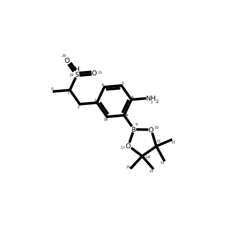 CC(Cc1ccc(N)c(B2OC(C)(C)C(C)(C)O2)c1)[SH](=O)=O